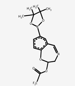 CC1(C)OB(c2ccc3c(c2)C=NCC(OC(=O)C(F)(F)F)O3)OC1(C)C